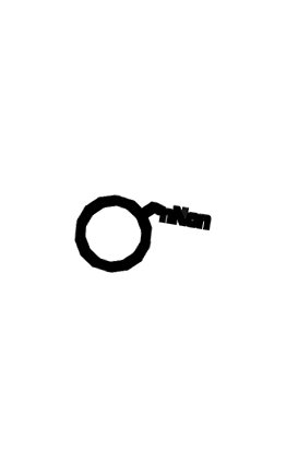 CCCCCCCCCCC1CCCCCCCCCCCCC1